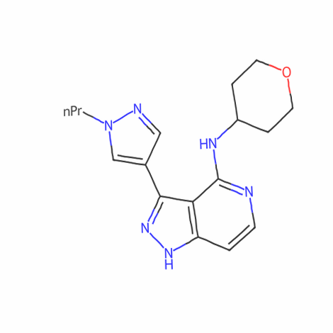 CCCn1cc(-c2n[nH]c3ccnc(NC4CCOCC4)c23)cn1